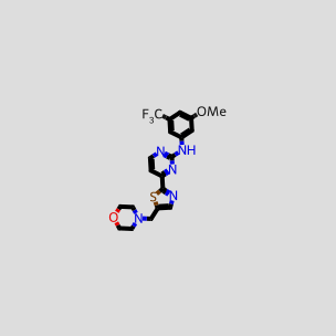 COc1cc(Nc2nccc(-c3ncc(CN4CCOCC4)s3)n2)cc(C(F)(F)F)c1